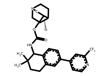 CC1(C)CCc2cc(-c3ccnc(C(F)(F)F)c3)ccc2C1NC(=O)O[C@H]1CN2CCC1CC2